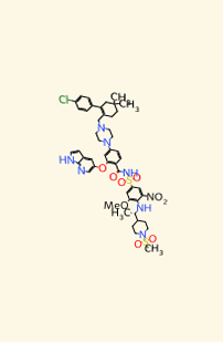 COc1cc(S(=O)(=O)NC(=O)c2ccc(N3CCN(CC4=C(c5ccc(Cl)cc5)CC(C)(C)CC4)CC3)cc2Oc2cnc3[nH]ccc3c2)cc([N+](=O)[O-])c1N[C@@H](C)C1CCN(S(C)(=O)=O)CC1